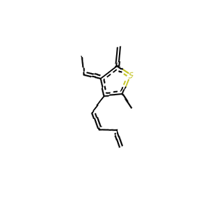 C=C/C=C\c1c(C)sc(=C)/c1=C\C